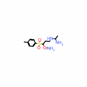 Cc1ccc(S(=O)(=O)C(CCNC(C)N)ON)cc1